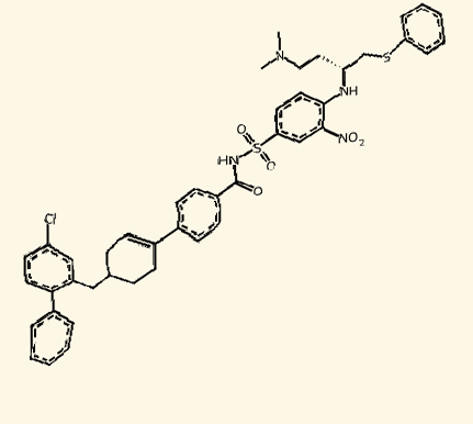 CN(C)CC[C@H](CSc1ccccc1)Nc1ccc(S(=O)(=O)NC(=O)c2ccc(C3=CCC(Cc4cc(Cl)ccc4-c4ccccc4)CC3)cc2)cc1[N+](=O)[O-]